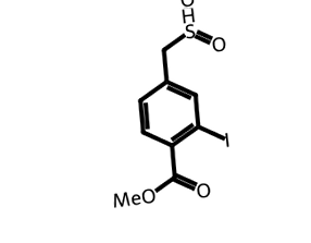 COC(=O)c1ccc(C[SH](=O)=O)cc1I